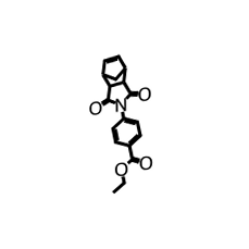 CCOC(=O)c1ccc(N2C(=O)C3C4C=CC(C4)C3C2=O)cc1